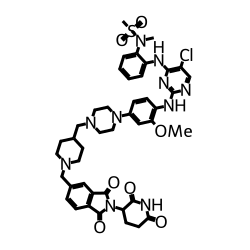 COc1cc(N2CCN(CC3CCN(Cc4ccc5c(c4)C(=O)N(C4CCC(=O)NC4=O)C5=O)CC3)CC2)ccc1Nc1ncc(Cl)c(Nc2ccccc2N(C)S(C)(=O)=O)n1